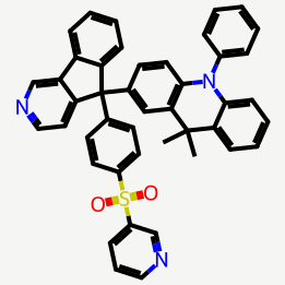 CC1(C)c2ccccc2N(c2ccccc2)c2ccc(C3(c4ccc(S(=O)(=O)c5cccnc5)cc4)c4ccccc4-c4cnccc43)cc21